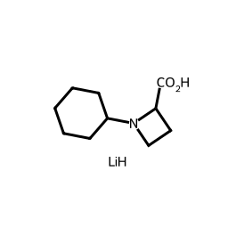 O=C(O)C1CCN1C1CCCCC1.[LiH]